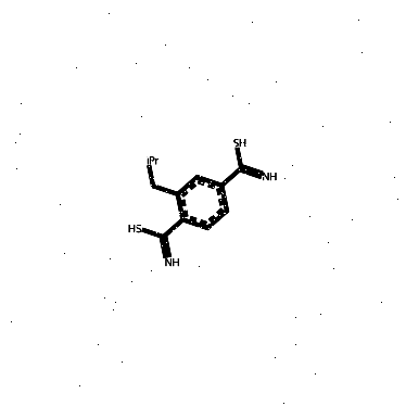 CC(C)Cc1cc(C(=N)S)ccc1C(=N)S